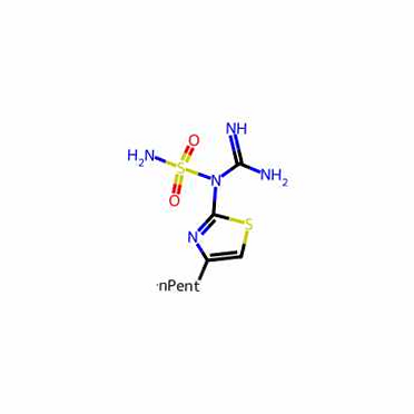 [CH2]CCC[CH]c1csc(N(C(=N)N)S(N)(=O)=O)n1